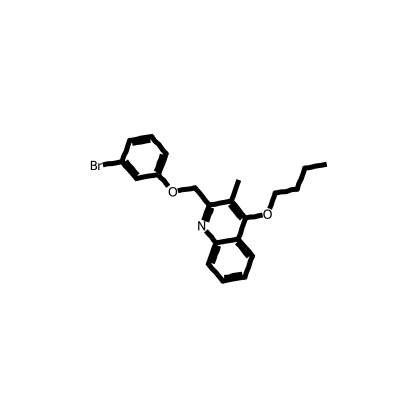 CCCCOc1c(C)c(COc2cccc(Br)c2)nc2ccccc12